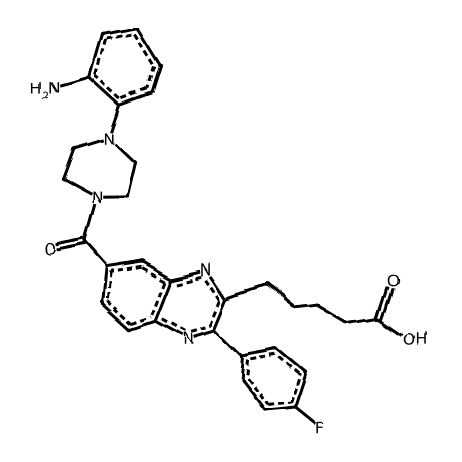 Nc1ccccc1N1CCN(C(=O)c2ccc3nc(-c4ccc(F)cc4)c(CCCCC(=O)O)nc3c2)CC1